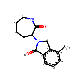 O=C1NCCCC[C@@H]1N1Cc2c(cccc2C(F)(F)F)C1=O